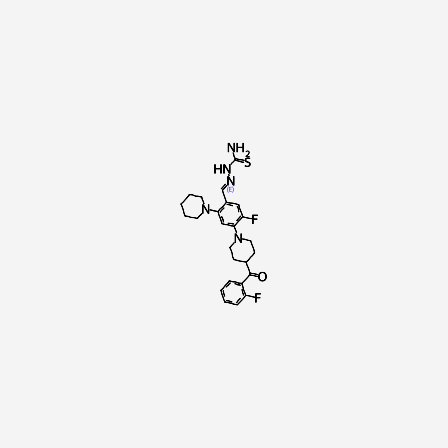 NC(=S)N/N=C/c1cc(F)c(N2CCC(C(=O)c3ccccc3F)CC2)cc1N1CCCCC1